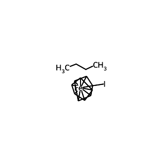 CCCC.I[C]12[CH]3[CH]4[CH]5[CH]1[Fe]45321678[CH]2[CH]1[CH]6[CH]7[CH]28